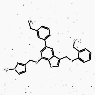 Cn1ccc(COc2cc(-c3cccc(CN)c3)cc3c(COc4ccccc4CC(=O)O)coc23)n1